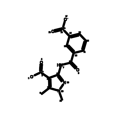 Cc1c([N+](=O)[O-])c(NC(=O)c2cccc([N+](=O)[O-])c2)nn1C